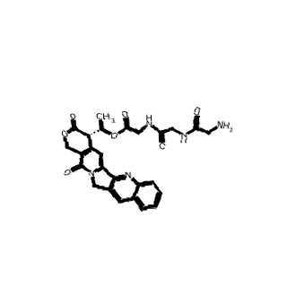 CC(OC(=O)CNC(=O)CNC(=O)CN)[C@H]1C(=O)OCc2c1cc1n(c2=O)Cc2cc3ccccc3nc2-1